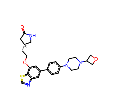 O=C1C[C@@H](CCOc2cc(-c3ccc(N4CCN(C5COC5)CC4)cc3)cc3ncsc23)CN1